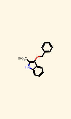 CCOC(=O)c1[nH]c2ccccc2c1OCc1ccccc1